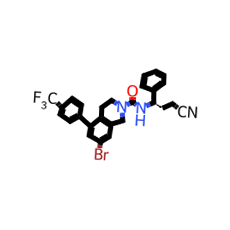 N#CCC[C@H](NC(=O)N1CCc2c(cc(Br)cc2-c2ccc(C(F)(F)F)cc2)C1)c1ccccc1